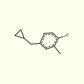 Cc1cc(CC2CC2)[c]cc1F